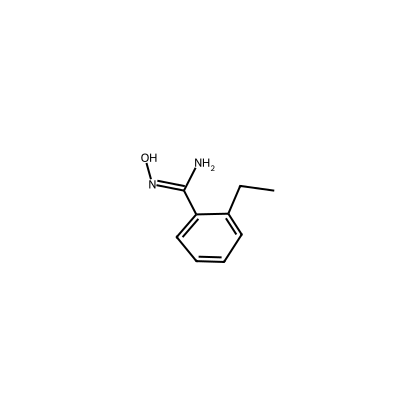 CCc1ccccc1/C(N)=N/O